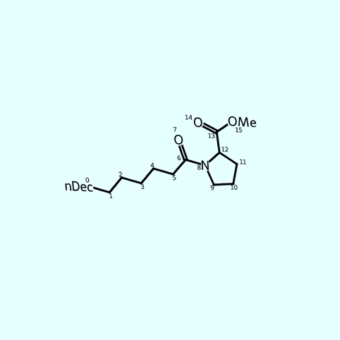 CCCCCCCCCCCCCCCC(=O)N1CCCC1C(=O)OC